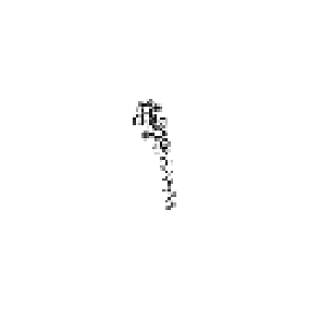 CCCCCCCCCCCCC(=O)Oc1cc(F)c(/N=N/c2c(F)cccc2Cl)c(Cl)c1